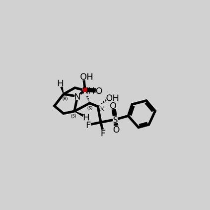 O=C(O)N1[C@@H]2CC[C@H]1[C@@H]([C@H](O)C(F)(F)S(=O)(=O)c1ccccc1)NC2